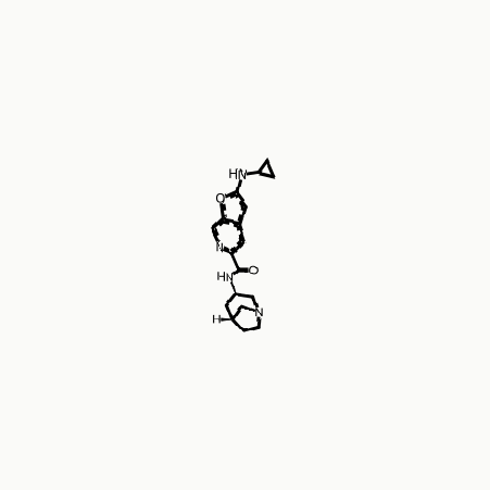 O=C(N[C@@H]1C[C@H]2CCN(C2)C1)c1cc2cc(NC3CC3)oc2cn1